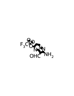 Nc1nn2ccc(OS(=O)(=O)C(F)(F)F)nc2c1C=O